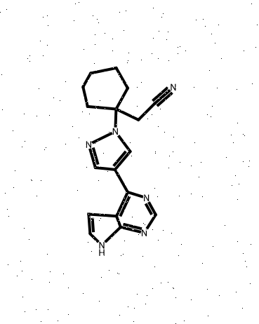 N#CCC1(n2cc(-c3ncnc4[nH]ccc34)cn2)CCCCC1